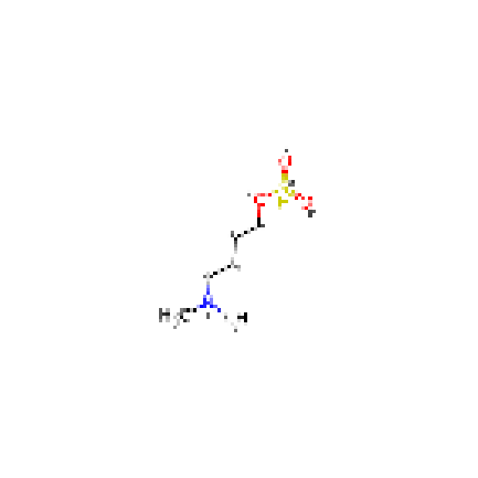 CN(C)CCCCO[SH](=O)=O